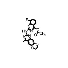 Cc1nc(Nc2nc(OC(=O)C(F)(F)F)c3cccc(F)c3n2)nc2cc3c(cc12)OCCO3